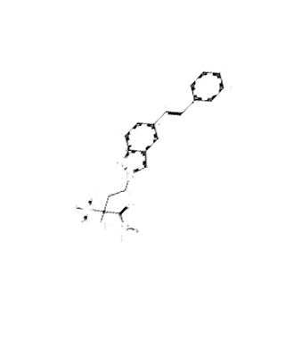 CC(CCn1cc2cc(C=Cc3ccccc3)ccc2n1)(C(=O)NO)S(C)(=O)=O